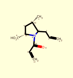 C=CCC1[C@@H](C)C[C@@H](C(=O)O)N1C(=O)C=C